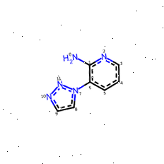 Nc1ncccc1-n1ccnn1